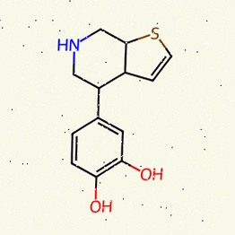 Oc1ccc(C2CNCC3SC=CC32)cc1O